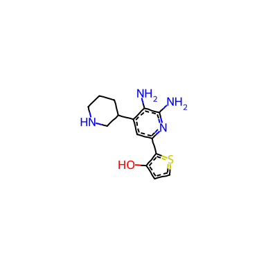 Nc1nc(-c2sccc2O)cc(C2CCCNC2)c1N